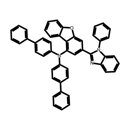 c1ccc(-c2ccc(N(c3ccc(-c4ccccc4)cc3)c3cc(-c4nc5ccccc5n4-c4ccccc4)cc4oc5ccccc5c34)cc2)cc1